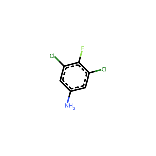 Nc1cc(Cl)c(F)c(Cl)c1